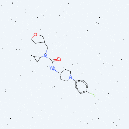 O=C(NC1CCN(c2ccc(F)cc2)CC1)N(CC1CCOC1)C1CC1